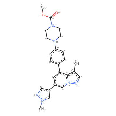 Cn1cc(-c2cc(-c3ccc(N4CCN(C(=O)OC(C)(C)C)CC4)cc3)c3c(C#N)cnn3c2)cn1